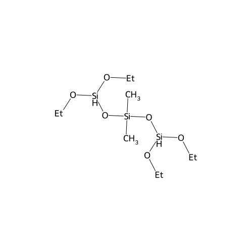 CCO[SiH](OCC)O[Si](C)(C)O[SiH](OCC)OCC